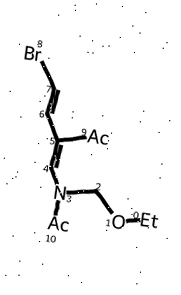 CCOCN(/C=C(/C=C/Br)C(C)=O)C(C)=O